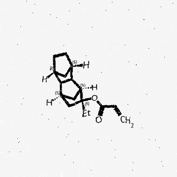 C=CC(=O)O[C@]1(CC)C[C@@H]2C[C@H]1C1C2[C@@H]2CC[C@H]1C2